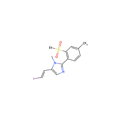 CCS(=O)(=O)c1cc(C(F)(F)F)ccc1-c1ncc(/C=C/I)n1C